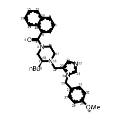 CCCC[C@H]1CN(C(=O)c2cccc3ccccc23)CCN1Cc1cncn1Cc1ccc(OC)cc1